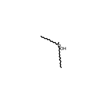 CCCCCCCCCCCCC(O)COC(C)CCCCCCCCCCCC